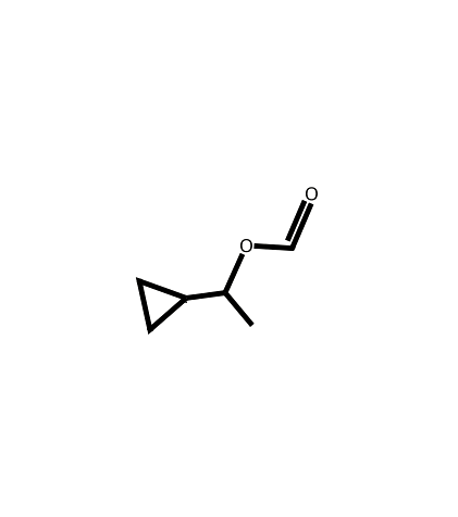 CC(OC=O)[C]1CC1